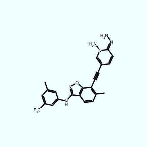 Cc1cc(Nc2noc3c(C#Cc4cc/c(=N/N)n(N)c4)c(C)ccc23)cc(C(F)(F)F)c1